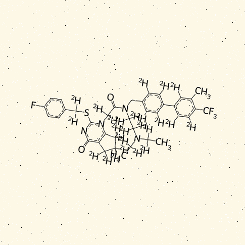 [2H]c1c([2H])c(-c2c([2H])c([2H])c(C(F)(F)F)c(C)c2[2H])c([2H])c([2H])c1CN(C(=O)C([2H])([2H])n1c(SC([2H])([2H])c2ccc(F)cc2)nc(=O)c2c1C([2H])([2H])C([2H])([2H])C2([2H])[2H])C([2H])([2H])C([2H])([2H])N(C([2H])([2H])C)C([2H])([2H])C